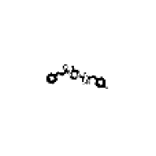 CC1CN(c2nc(Cc3ccc(F)cc3)ns2)CCN1C(=O)CCc1ccccc1